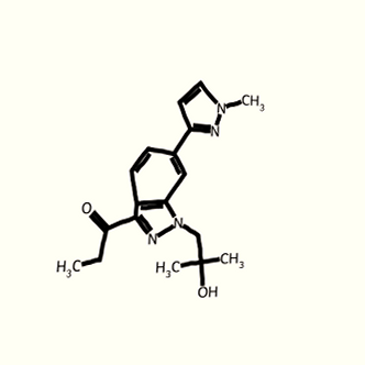 CCC(=O)c1nn(CC(C)(C)O)c2cc(-c3ccn(C)n3)ccc12